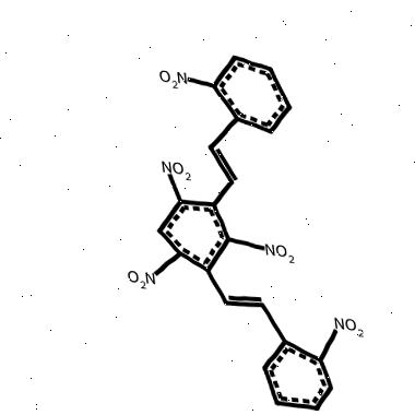 O=[N+]([O-])c1ccccc1C=Cc1c([N+](=O)[O-])cc([N+](=O)[O-])c(C=Cc2ccccc2[N+](=O)[O-])c1[N+](=O)[O-]